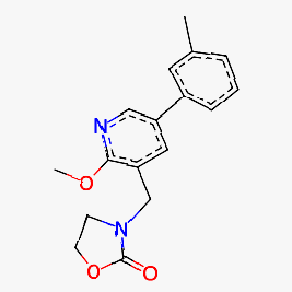 COc1ncc(-c2cccc(C)c2)cc1CN1CCOC1=O